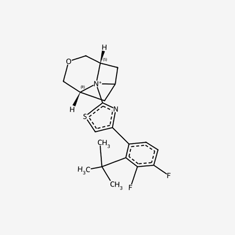 CC(C)(C)c1c(-c2csc([N+]34C5C[C@H]3COC[C@H]4C5)n2)ccc(F)c1F